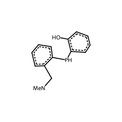 CNCc1ccccc1Pc1ccccc1O